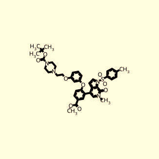 COC(=O)c1ccc(Oc2cccc(OCCN3CCN(C(=O)OC(C)(C)C)CC3)c2)c(-c2cn(C)c(=O)c3c2ccn3S(=O)(=O)c2ccc(C)cc2)c1